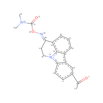 CC(=O)c1ccc2c(c1)c1cccc3c1n2CC/C3=N\OC(=O)N(C)C